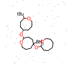 BC1(OC2CCCCCCO2)CCCOC(OC2CCCOC(C(C)(C)C)CC2)CC1